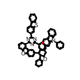 c1ccc(-c2nc(-c3ccc4c(c3)sc3ccccc34)nc(-c3cccc4oc5ccc(-c6cc(-c7ccc8c9ccccc9n(-c9ccccc9)c8c7)cc7oc8ccccc8c67)cc5c34)n2)cc1